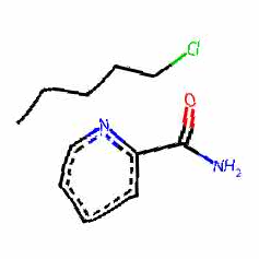 CCCCCCl.NC(=O)c1ccccn1